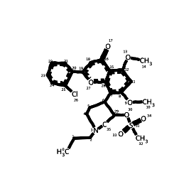 CCCN1CCC(c2c(OC)cc(OC)c3c(=O)cc(-c4ccccc4Cl)oc23)C(OS(C)(=O)=O)C1